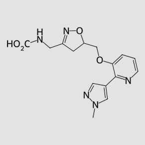 Cn1cc(-c2ncccc2OCC2CC(CNC(=O)O)=NO2)cn1